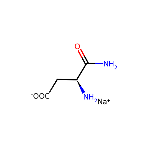 NC(=O)[C@@H](N)CC(=O)[O-].[Na+]